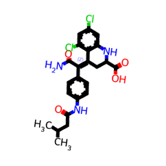 CC(C)CC(=O)Nc1ccc(/C(C(N)=O)=C2\CC(C(=O)O)Nc3cc(Cl)cc(Cl)c32)cc1